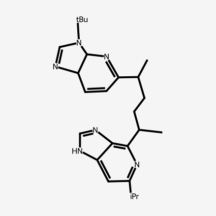 CC(CCC(C)c1nc(C(C)C)cc2[nH]cnc12)C1=NC2C(C=C1)N=CN2C(C)(C)C